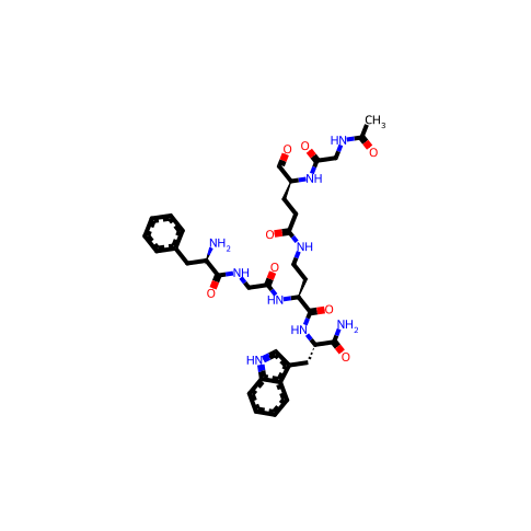 CC(=O)NCC(=O)N[C@H](C=O)CCC(=O)NCC[C@H](NC(=O)CNC(=O)[C@H](N)Cc1ccccc1)C(=O)N[C@@H](Cc1c[nH]c2ccccc12)C(N)=O